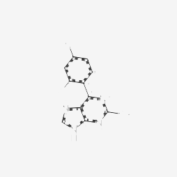 Cc1ccc(-c2nc(Cl)nc3[nH]cnc23)c(C)c1